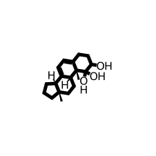 C[C@@]12CCC[C@H]1C1=CC=C3CCC(O)C(O)(O)[C@]3(C)[C@H]1CC2